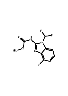 CC(C)(C)OC(=O)Nc1nc2c(Br)cccc2n1C(F)F